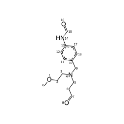 COCCN(CCC=O)Cc1ccc(NC=O)cc1